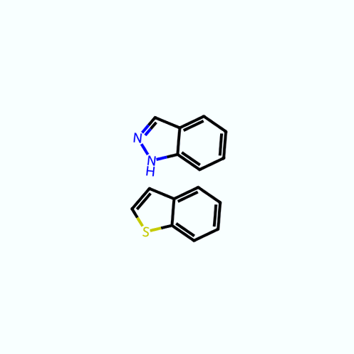 c1ccc2[nH]ncc2c1.c1ccc2sccc2c1